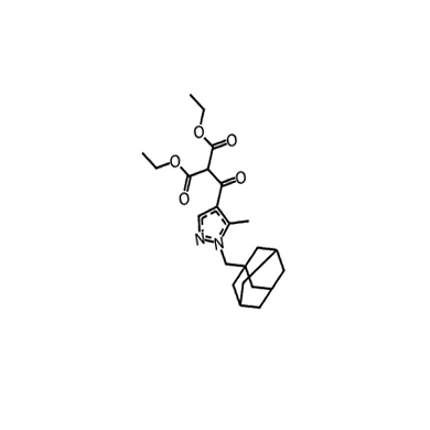 CCOC(=O)C(C(=O)OCC)C(=O)c1cnn(CC23CC4CC(CC(C4)C2)C3)c1C